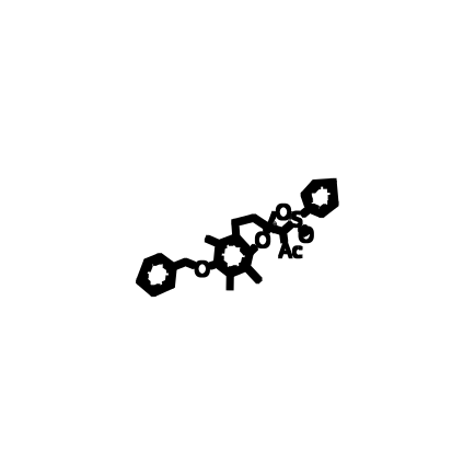 CC(=O)C([C@@]1(C)CCc2c(C)c(OCc3ccccc3)c(C)c(C)c2O1)S(=O)(=O)c1ccccc1